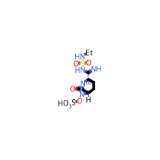 CCNS(=O)(=O)NC(=N)[C@@H]1CC[C@@H]2CN1C(=O)N2OS(=O)(=O)O